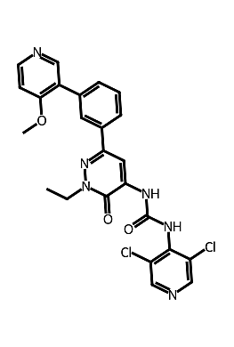 CCn1nc(-c2cccc(-c3cnccc3OC)c2)cc(NC(=O)Nc2c(Cl)cncc2Cl)c1=O